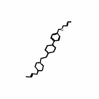 CC=CCOCc1ccc(C2CCC(CCC3CCC(CC=CC)CC3)CC2)cc1